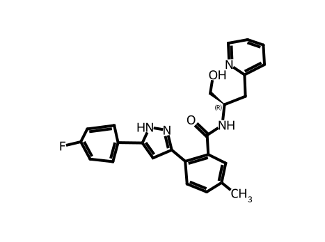 Cc1ccc(-c2cc(-c3ccc(F)cc3)[nH]n2)c(C(=O)N[C@@H](CO)Cc2ccccn2)c1